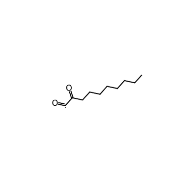 CCCCCCCCC(=O)[C]=O